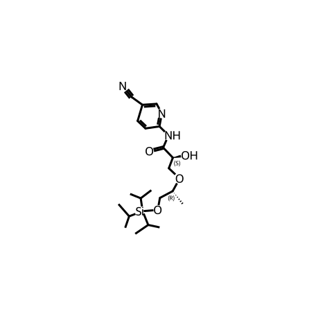 CC(C)[Si](OC[C@@H](C)OC[C@H](O)C(=O)Nc1ccc(C#N)cn1)(C(C)C)C(C)C